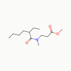 CCCCC(CC)C(=O)N(C)CCC(=O)OC